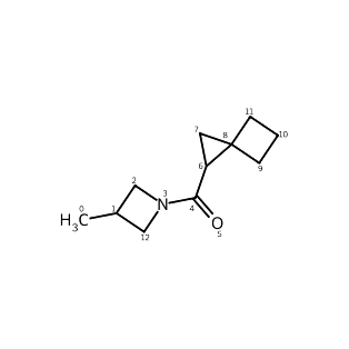 CC1CN(C(=O)C2CC23CCC3)C1